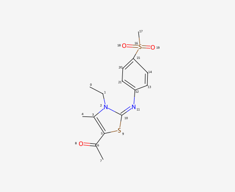 CCn1c(C)c(C(C)=O)sc1=Nc1ccc(S(C)(=O)=O)cc1